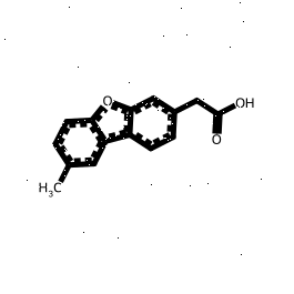 Cc1ccc2oc3cc(CC(=O)O)ccc3c2c1